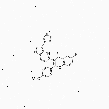 COc1ccc(COc2ccc(F)cc2C(C)Nc2ccn3ncc(-c4cnn(C)c4)c3n2)cc1